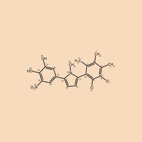 Cc1c(C)c(C)[n+]([O-])c(Cl)c1-c1ccc(-c2cc(O)c(O)c([N+](=O)[O-])c2)n1C